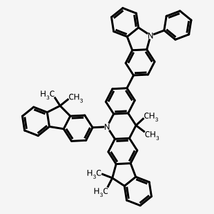 CC1(C)c2ccccc2-c2ccc(N3c4ccc(-c5ccc6c(c5)c5ccccc5n6-c5ccccc5)cc4C(C)(C)c4cc5c(cc43)C(C)(C)c3ccccc3-5)cc21